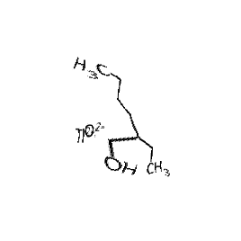 CCCCC(CC)CO.[O-2].[Tl+2]